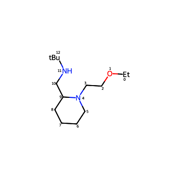 CCOCCN1CCCCC1CNC(C)(C)C